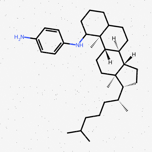 CC(C)CCC[C@@H](C)[C@H]1CC[C@H]2[C@@H]3CCC4CCCC(Nc5ccc(N)cc5)[C@]4(C)[C@H]3CC[C@]12C